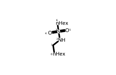 CCCCCCCNS(=O)(=O)CCCCCC